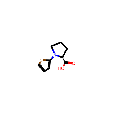 O=C(O)[C@@H]1CCCN1c1cccs1